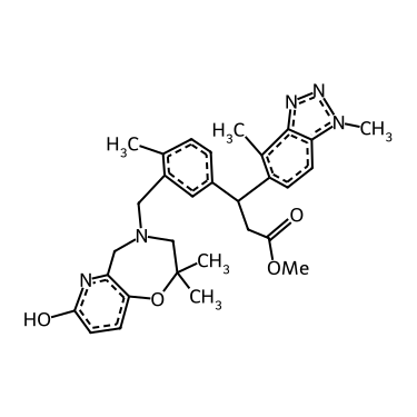 COC(=O)CC(c1ccc(C)c(CN2Cc3nc(O)ccc3OC(C)(C)C2)c1)c1ccc2c(nnn2C)c1C